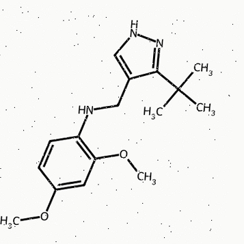 COc1ccc(NCc2c[nH]nc2C(C)(C)C)c(OC)c1